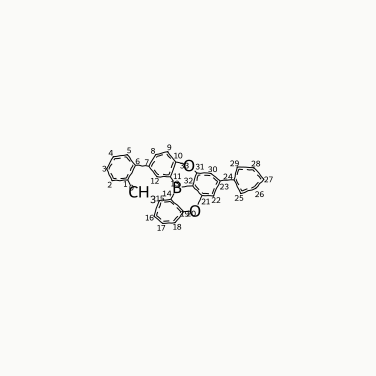 Cc1ccccc1-c1ccc2c(c1)B1c3ccccc3Oc3cc(-c4ccccc4)cc(c31)O2